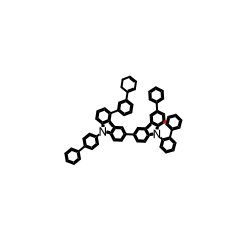 C1=CCCC(c2cccc(-c3cccc4c3c3cc(-c5ccc6c(c5)c5cc(-c7ccccc7)ccc5n6-c5ccccc5-c5ccccc5)ccc3n4-c3ccc(-c4ccccc4)cc3)c2)=C1